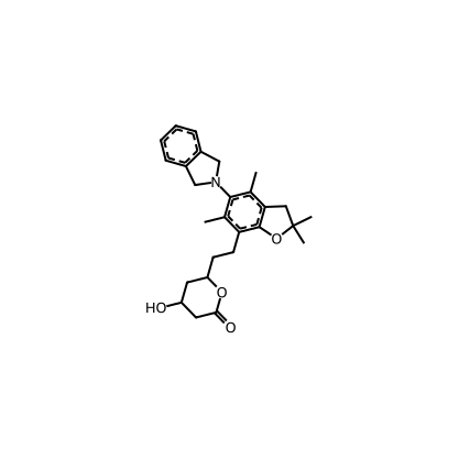 Cc1c(CCC2CC(O)CC(=O)O2)c2c(c(C)c1N1Cc3ccccc3C1)CC(C)(C)O2